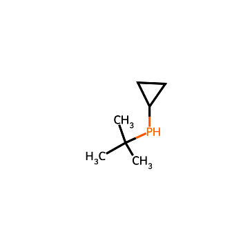 CC(C)(C)PC1CC1